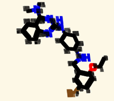 CCOc1ccc(Br)cc1CN[C@H]1CC[C@@H](Nc2nc(N(C)C)c3ccccc3n2)CC1